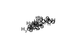 CC(C)(C)c1cc(N2CCC(=O)NC2=O)cc(C(=O)Nc2scc(CNS(C)(=O)=O)c2S(N)(=O)=O)c1O